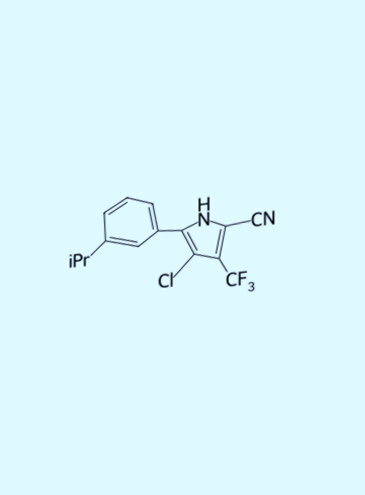 CC(C)c1cccc(-c2[nH]c(C#N)c(C(F)(F)F)c2Cl)c1